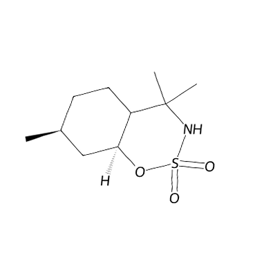 C[C@H]1CCC2[C@H](C1)OS(=O)(=O)NC2(C)C